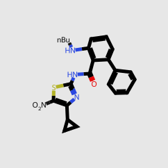 CCCCNc1cccc(-c2ccccc2)c1C(=O)Nc1nc(C2CC2)c([N+](=O)[O-])s1